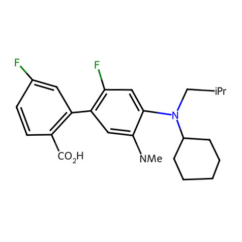 CNc1cc(-c2cc(F)ccc2C(=O)O)c(F)cc1N(CC(C)C)C1CCCCC1